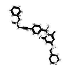 Cc1cc(OCC2CCOCC2)cc(=O)n1[C@H](C)c1ccc(C#CCN(C)Cc2ccccc2)cc1